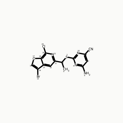 CC(Sc1nc(N)cc(C#N)n1)c1cc2c(Br)coc2c(Cl)n1